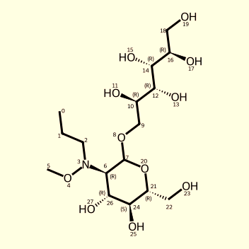 CCCN(OC)[C@H]1C(OC[C@@H](O)[C@@H](O)[C@H](O)[C@H](O)CO)O[C@H](CO)[C@@H](O)[C@@H]1O